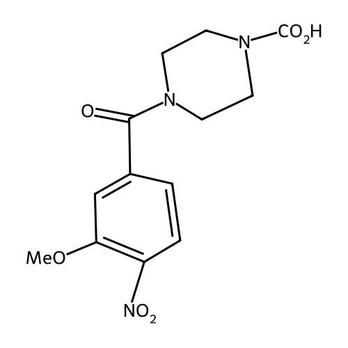 COc1cc(C(=O)N2CCN(C(=O)O)CC2)ccc1[N+](=O)[O-]